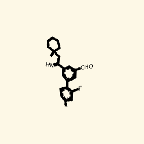 Cc1ccc(-c2cc(C=O)cc(C(=N)CC3(C)CCCCC3)c2)c(F)c1